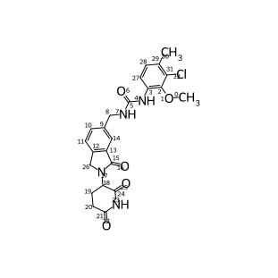 COc1c(NC(=O)NCc2ccc3c(c2)C(=O)N(C2CCC(=O)NC2=O)C3)ccc(C)c1Cl